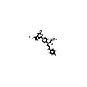 Cc1csc2c(N3CCC(N(CCCc4ccc(F)cc4)C(=O)OC(C)(C)C)CC3)nc(Cl)nc12